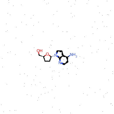 Nc1ccnc2c1ccn2[C@@H]1CC[C@@H](CO)O1